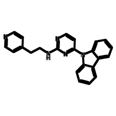 c1ccc2c(c1)c1ccccc1n2-c1ccnc(NCCc2ccncc2)n1